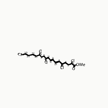 COC(=O)C(Cl)CCC(Cl)CCCCCC(Cl)CCC(Cl)CCCCCl